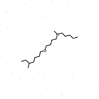 CCCCCN(C)CCCCOCCCCC(C)CC